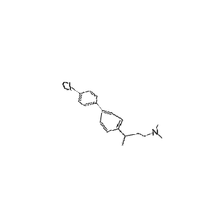 CC(CCN(C)C)c1ccc(-c2ccc(Cl)cc2)cc1